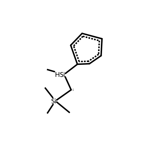 C[SiH]([C][Si](C)(C)C)c1ccccc1